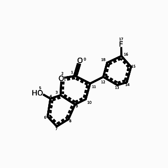 O=c1oc2c(O)cccc2cc1-c1cccc(F)c1